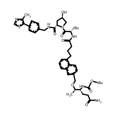 Cc1ncsc1-c1ccc(CNC(=O)[C@@H]2C[C@@H](O)CN2C(=O)[C@@H](NC(=O)CCCc2cccc3cc(CO[C@H](C)[C@H](CCC(N)=O)NC(=O)OC(C)(C)C)ccc23)C(C)(C)C)cc1